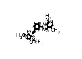 Cc1cnc(N)c2nc(-c3cccc(C#C[C@]4(OC(=O)C(F)(F)F)CCN(C)C4=O)c3)ncc12